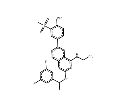 COc1ccc(-c2ccc3nc(NC(C)c4cc(F)cc(F)c4)nc(NCC(F)(F)F)c3n2)cc1S(C)(=O)=O